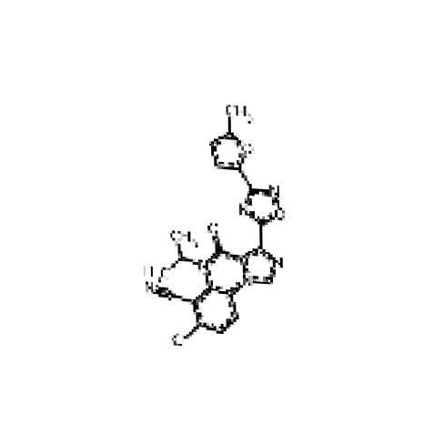 Cc1ccc(-c2noc(-c3ncn4c3c(=O)n(C(C)C)c3c(C#N)c(Cl)ccc34)n2)o1